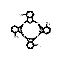 Nc1cccc2c1-c1nc-2nc2[nH]c(nc3nc(nc4[nH]c(n1)c1cccc(N)c41)-c1cccc(N)c1-3)c1cccc(N)c21